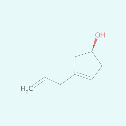 C=CCC1=CC[C@H](O)C1